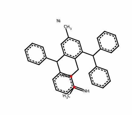 CC(=N)C(=N)Cc1c(C(c2ccccc2)c2ccccc2)cc(C)cc1C(c1ccccc1)c1ccccc1.[Ni]